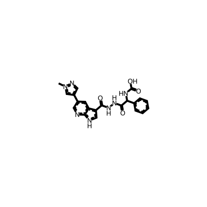 Cn1cc(-c2cnc3[nH]cc(C(=O)NNC(=O)C(NC(=O)O)c4ccccc4)c3c2)cn1